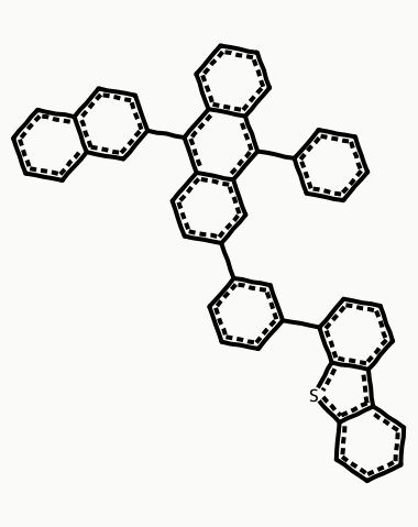 c1ccc(-c2c3ccccc3c(-c3ccc4ccccc4c3)c3ccc(-c4cccc(-c5cccc6c5sc5ccccc56)c4)cc23)cc1